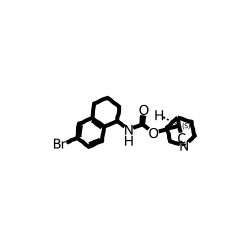 O=C(NC1CCCc2cc(Br)ccc21)O[C@@H]1CN2CCC1CC2